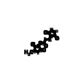 CC1CC(=O)N(OC(=O)CCN2C(=O)C=CC2=O)C1=O